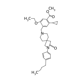 CCCCc1ccc(N2CC3(CCN(Cc4cc(C5CC5)c(C(=O)OC)cc4OCC)CC3)CC2=O)cc1